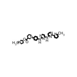 Cc1cccc(-c2nccc(Nc3ccnc(Nc4ccc(N5CCCC(C(=O)OC6CCN(C)C6)C5)cc4)n3)n2)n1